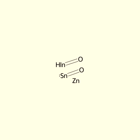 [O]=[InH].[O]=[Sn].[Zn]